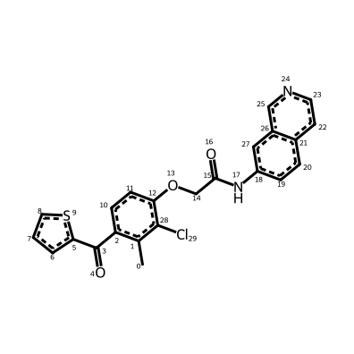 Cc1c(C(=O)c2cccs2)ccc(OCC(=O)Nc2ccc3ccncc3c2)c1Cl